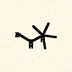 C[SH](C)(C)(C)[NH][Zr]